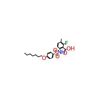 CCCCCCCOc1ccc(S(=O)(=O)Nc2ccc(C)c(F)c2C(=O)O)cc1